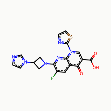 O=C(O)c1cn(-c2nccs2)c2nc(N3CC(n4ccnc4)C3)c(F)cc2c1=O